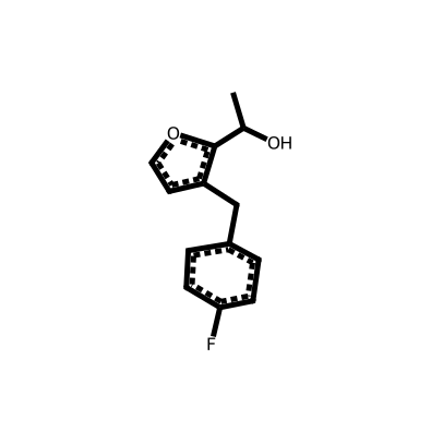 CC(O)c1occc1Cc1ccc(F)cc1